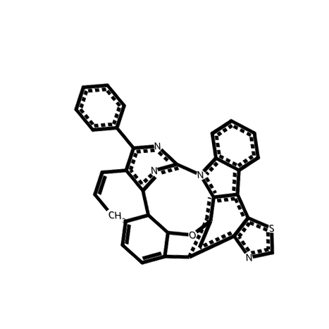 C/C=C\c1c(-c2ccccc2)nc2nc1C1C=CC=C3c4c(c5c(c6ccccc6n5-2)c2scnc42)OC31